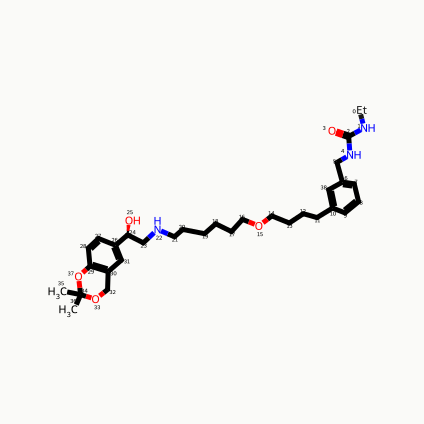 CCNC(=O)NCc1cccc(CCCCOCCCCCCNC[C@H](O)c2ccc3c(c2)COC(C)(C)O3)c1